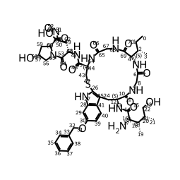 CC[C@H](C)[C@@H]1NC(=O)CNC(=O)[C@@H](NC(=O)[C@@H](N)[C@@H](C)[C@@H](C)CO)Cc2c([nH]c3cc(OCc4ccccc4)ccc23)SC[C@@H](C(=O)N[C@@H](CCN=O)C(=O)N2C[C@H](O)C[C@H]2C(=O)O)NC(=O)CNC1=O